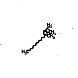 CCCCCCCCCCCCc1ccc(CC)c(C)c1C